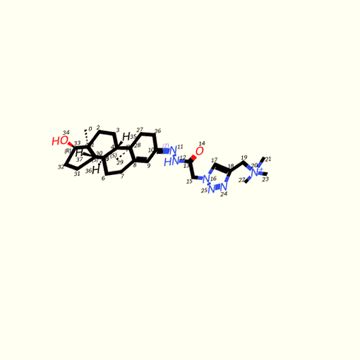 C[C@]12CC[C@H]3[C@@H](CCC4=C/C(=N\NC(=O)Cn5cc(C[N+](C)(C)C)nn5)CC[C@@]43C)[C@@H]1CC[C@H]2O